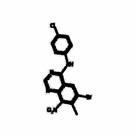 Cc1c(Br)cc2c(Nc3ccc(Cl)cc3)ncnc2c1[N+](=O)[O-]